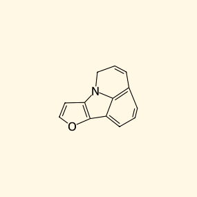 C1=Cc2cccc3c4occc4n(c23)C1